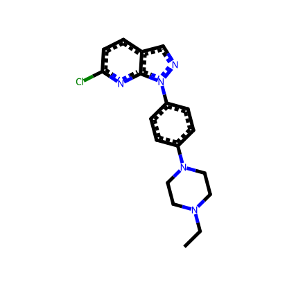 CCN1CCN(c2ccc(-n3ncc4ccc(Cl)nc43)cc2)CC1